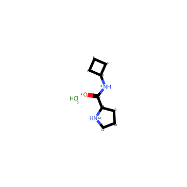 Cl.O=C(NC1CCC1)C1CCCN1